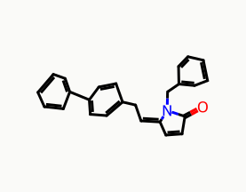 O=C1C=C/C(=C/Cc2ccc(-c3ccccc3)cc2)N1Cc1ccccc1